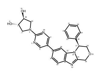 O[C@H]1CN(c2ncc(-c3ccc4nc5n(c4c3)[C@@H](c3ccccc3)COC5)cn2)C[C@@H]1O